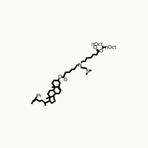 C/C=C(\CCC(C)C1CCC2C3CC=C4CC(OC(=O)CCCCCN(CCCCCCC(=O)OC(CCCCCCCC)CCCCCCCC)CCN(C)C)CCC4(C)C3CCC12C)C(C)C